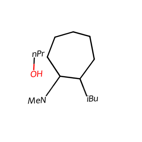 CCC(C)C1CCCCCC1NC.CCCO